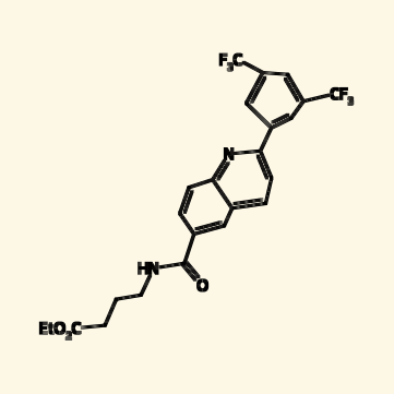 CCOC(=O)CCCNC(=O)c1ccc2nc(-c3cc(C(F)(F)F)cc(C(F)(F)F)c3)ccc2c1